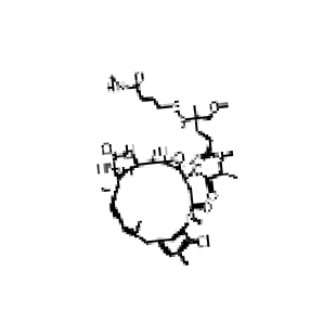 CNC(=O)CCCSSC(C)(CCC(=O)N(C)[C@@H](C)C(=O)O[C@H]1CC(=O)N(C)c2cc(cc(C)c2Cl)C/C(C)=C/C=C/[C@@H](C)[C@@]2(O)C[C@H](OC(=O)N2)[C@@H](C)[C@@H]2O[C@@]12C)COC